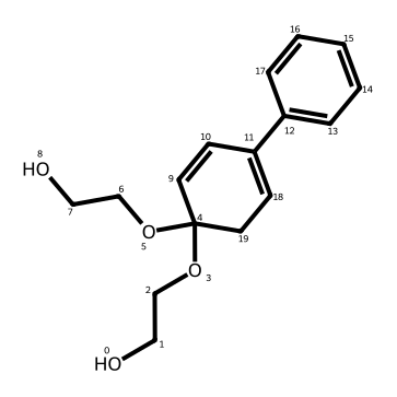 OCCOC1(OCCO)C=CC(c2ccccc2)=CC1